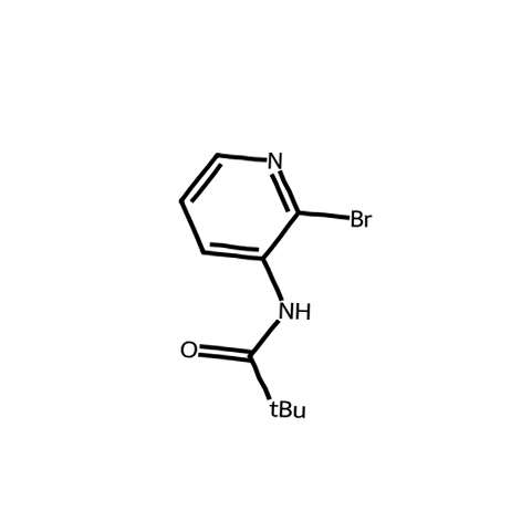 CC(C)(C)C(=O)Nc1cccnc1Br